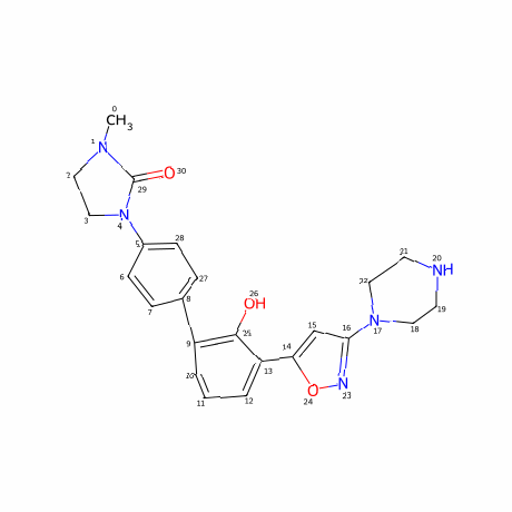 CN1CCN(c2ccc(-c3cccc(-c4cc(N5CCNCC5)no4)c3O)cc2)C1=O